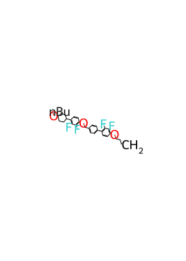 C=CCCOc1ccc(-c2ccc(COc3ccc(C4CCC(OCCCC)CC4)c(F)c3F)cc2)c(F)c1F